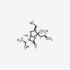 C=CCC1(C(=O)O)/C(=C/C#N)C[C@@H]2[C@@H](C(C)O)C(=O)N21